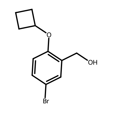 OCc1cc(Br)ccc1OC1CCC1